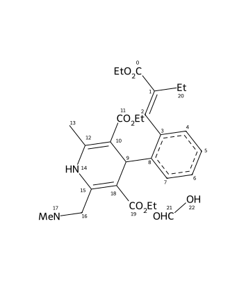 CCOC(=O)C(=Cc1ccccc1C1C(C(=O)OCC)=C(C)NC(CNC)=C1C(=O)OCC)CC.O=CO